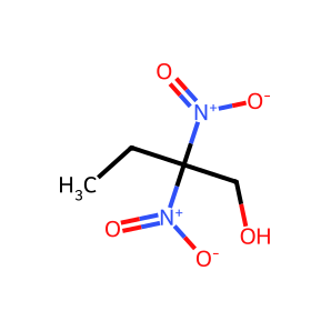 CCC(CO)([N+](=O)[O-])[N+](=O)[O-]